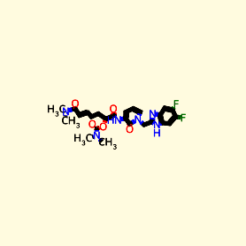 CN(C)C(=O)C=CCCC(OC(=O)N(C)C)C(=O)Nc1cccn(Cc2nc3cc(F)c(F)cc3[nH]2)c1=O